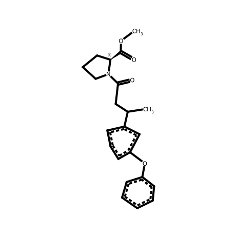 COC(=O)[C@@H]1CCCN1C(=O)CC(C)c1cccc(Oc2ccccc2)c1